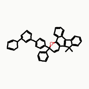 CC1(C)c2ccccc2-c2c1c1c(c3ccccc23)OC(c2ccccc2)(c2ccc(-c3cccc(C4C=CC=CC4)c3)cc2)C=C1